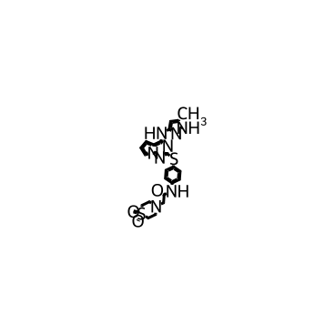 Cc1cc(Nc2nc(Sc3ccc(NC(=O)CN4CCS(=O)(=O)CC4)cc3)nn3cccc23)n[nH]1